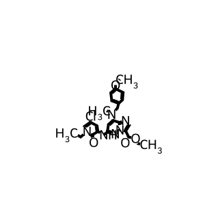 CCOC(=O)c1cnc2c(N(C)Cc3ccc(OC)cc3)cc(Nc3cc(Cl)cn(CC)c3=O)nn12